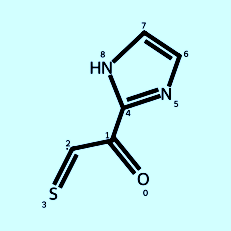 O=C([C]=S)c1ncc[nH]1